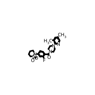 Cc1cnc(N2CCN(C(=O)c3ccc(N4CCCCS4(=O)=O)cc3F)CC2)c(C)c1